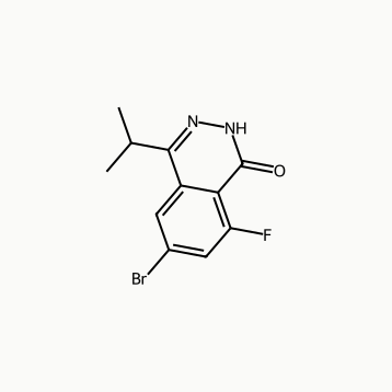 CC(C)c1n[nH]c(=O)c2c(F)cc(Br)cc12